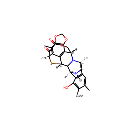 CCN1C[C@@]2(C#N)Cc3cc(C)c(OC)c(O)c3[C@H]1C1[C@@H]3SCC(=O)C(=O)OC[C@@H](c4c5c(c(C)c(OC(C)=O)c43)OCO5)N12